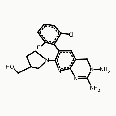 NC1=Nc2nc(N3CCC(CO)C3)c(-c3c(Cl)cccc3Cl)cc2CN1N